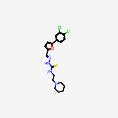 S=C(NCCN1CCCCC1)N/N=C/c1ccc(-c2ccc(Cl)c(Cl)c2)o1